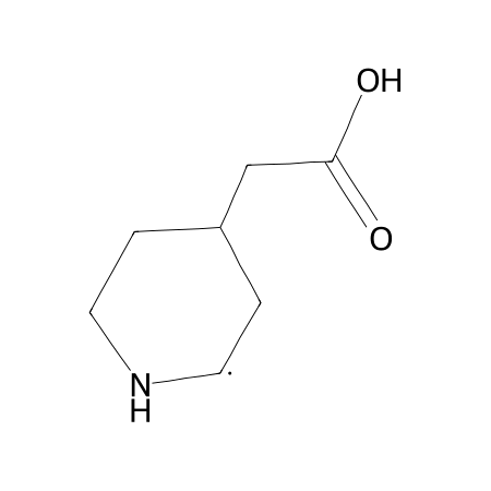 O=C(O)CC1C[CH]NCC1